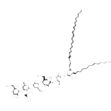 CCCCCCCCCCCCC/C=C/[C@@H](O)[C@H](CO[C@@H]1OC(CO)[C@@H](O[C@@H]2OC(CO)[C@H](O[C@@H]3OC(CO)[C@H](O[C@@H]4OC(CO)[C@H](O)[C@H](O[C@@H]5OC(CO)[C@H](O)[C@H](O)C5O)C4NC(C)=O)[C@H](O)C3O)[C@H](O)C2O)[C@H](O)C1O)NC(=O)CCCCCCCCCCCCCCCCCCCCCCC